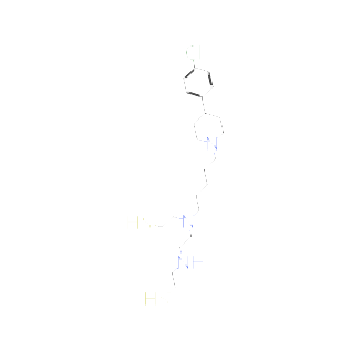 SCCNCCN(CCS)CCCCCN1CCC(c2ccc(Cl)cc2)CC1